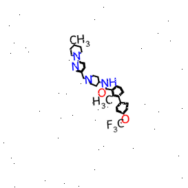 Cc1c(C(=O)NC2CCN(Cc3ccc(N4CCC(C)CC4)nc3)CC2)cccc1-c1ccc(OC(F)(F)F)cc1